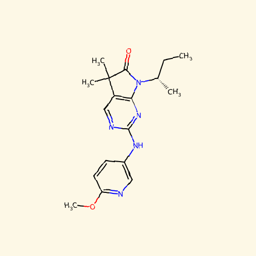 CC[C@H](C)N1C(=O)C(C)(C)c2cnc(Nc3ccc(OC)nc3)nc21